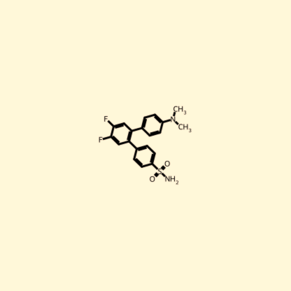 CN(C)c1ccc(-c2cc(F)c(F)cc2-c2ccc(S(N)(=O)=O)cc2)cc1